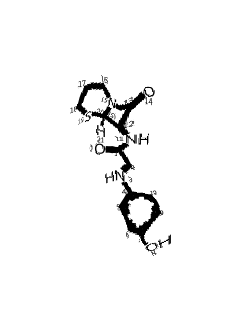 O=C(CNc1ccc(O)cc1)NC1C(=O)N2CCCS[C@@H]12